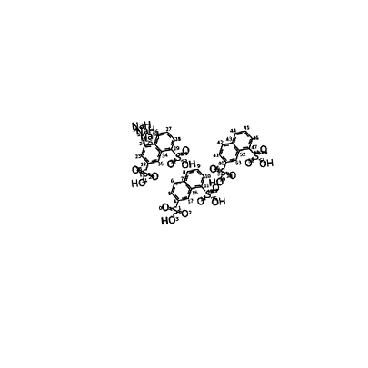 O=S(=O)(O)c1ccc2cccc(S(=O)(=O)O)c2c1.O=S(=O)(O)c1ccc2cccc(S(=O)(=O)O)c2c1.O=S(=O)(O)c1ccc2cccc(S(=O)(=O)O)c2c1.[NaH].[NaH].[NaH]